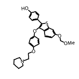 COCOc1ccc2c(Oc3ccc(OCCN4CCCCC4)cc3)c(-c3ccc(O)cc3)sc2c1